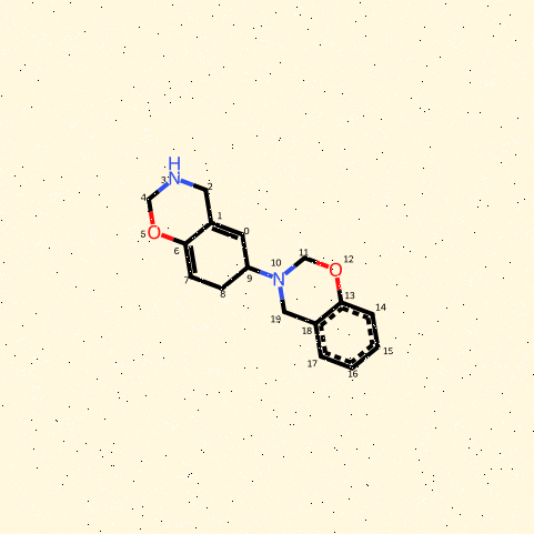 C1=C2CNCOC2=CCC1N1COc2ccccc2C1